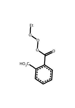 CCOOOC(=O)c1ccccc1C(=O)O